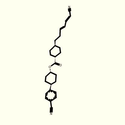 N#CC=CC=CCC[C@H]1CC[C@H](C(=O)O[C@H]2CC[C@H](c3ccc(C#N)cc3)CC2)CC1